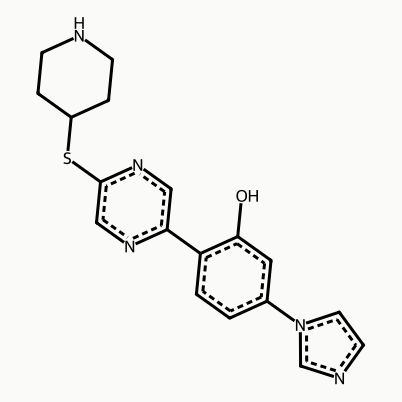 Oc1cc(-n2ccnc2)ccc1-c1cnc(SC2CCNCC2)cn1